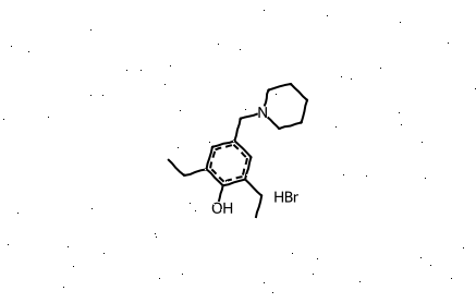 Br.CCc1cc(CN2CCCCC2)cc(CC)c1O